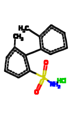 Cc1ccccc1-c1c(C)cccc1S(N)(=O)=O.Cl